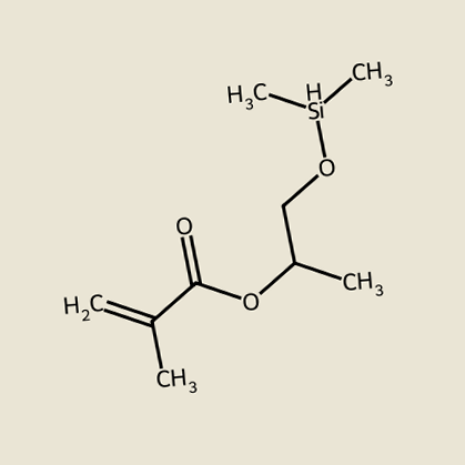 C=C(C)C(=O)OC(C)CO[SiH](C)C